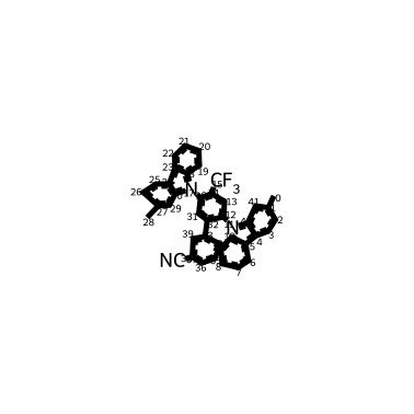 Cc1ccc2c3ccccc3n(-c3cc(C(F)(F)F)c(-n4c5ccccc5c5ccc(C)cc54)cc3-c3cccc(C#N)c3)c2c1